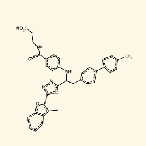 Cc1c(-c2nnc(C(Cc3ccc(-c4ccc(C(F)(F)F)cc4)cc3)Nc3ccc(C(=O)NCCC(=O)O)cc3)o2)oc2ccccc12